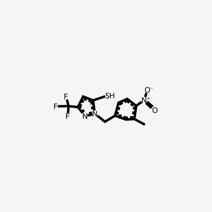 Cc1cc(Cn2nc(C(F)(F)F)cc2S)ccc1[N+](=O)[O-]